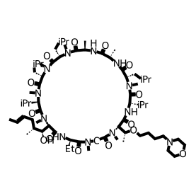 C/C=C/C[C@@H](C)[C@@H](O)[C@@H]1C(=O)N[C@@H](CC)C(=O)N(C)CC(=O)N(C)[C@@H]([C@@H](C)OCCCCN2CCOCC2)C(=O)N[C@@H](C(C)C)C(=O)N(C)[C@@H](CC(C)C)C(=O)N[C@@H](C)C(=O)N[C@H](C)C(=O)N(C)[C@@H](CC(C)C)C(=O)N(C)[C@@H](CC(C)C)C(=O)N(C)[C@H](C(C)C)C(=O)N1C